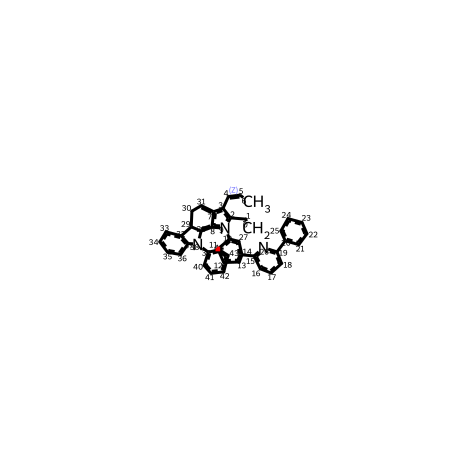 C=Cc1c(/C=C\C)c2c(n1-c1cccc(-c3cccc(-c4ccccc4)n3)c1)=C1C(CC=2)c2ccccc2N1c1ccccc1